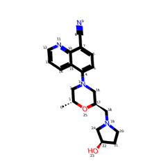 C[C@@H]1CN(c2ccc(C#N)c3ncccc23)C[C@@H](CN2CC[C@@H](O)C2)O1